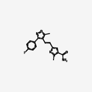 Cc1onc(-c2ccc(F)cc2)c1/C=C/c1cc(C(N)=O)n(C)n1